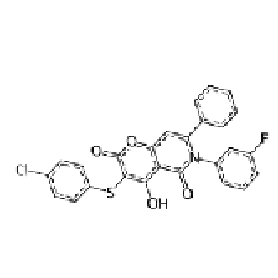 O=c1oc2cc(-c3ccccc3)n(-c3cccc(F)c3)c(=O)c2c(O)c1Sc1ccc(Cl)cc1